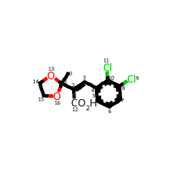 CC1(/C(=C/c2cccc(Cl)c2Cl)C(=O)O)OCCO1